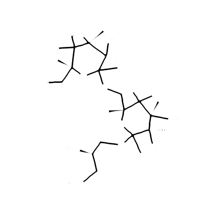 COC[C@H](COC1(C)O[C@](C)(COC2(C)O[C@](C)(CO)C(C)(O)[C@](C)(O)[C@@]2(C)O)C(C)(O)[C@](C)(O)[C@@]1(C)O)OC